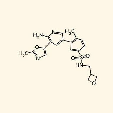 Cc1ncc(-c2cc(-c3cc(S(=O)(=O)NCC4COC4)ccc3C)cnc2N)o1